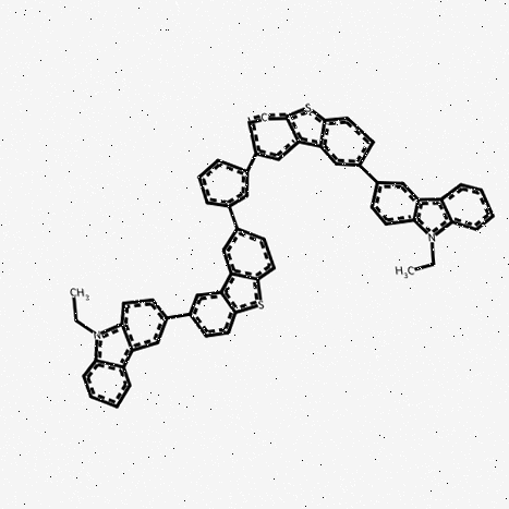 CCn1c2ccccc2c2cc(-c3ccc4sc5ccc(-c6cccc(-c7ccc8sc9ccc(-c%10ccc%11c(c%10)c%10ccccc%10n%11CC)cc9c8c7)c6)cc5c4c3)ccc21